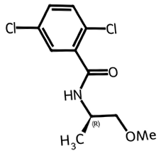 COC[C@@H](C)NC(=O)c1cc(Cl)ccc1Cl